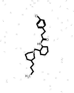 CCCCC1CCCN(CC2CCCCC2NC(=O)CCc2ccc(Cl)cc2)C1